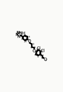 O=CCc1ccc(OCCCCOc2ccc(-c3nnn[nH]3)cc2)c(Cl)c1Cl